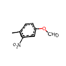 Cc1ccc(OC=O)cc1[N+](=O)[O-]